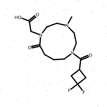 CN1CCN(CC(=O)O)C(=O)CCCN(C(=O)C2CC(F)(F)C2)CC1